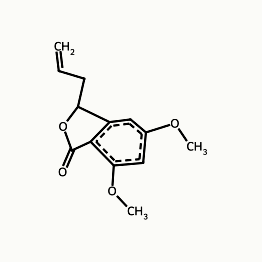 C=CCC1OC(=O)c2c(OC)cc(OC)cc21